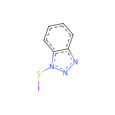 ISn1nnc2ccccc21